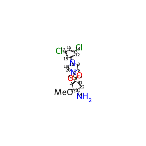 COc1cc(S(=O)(=O)N2CCN(c3cc(Cl)cc(Cl)c3)CC2)ccc1N